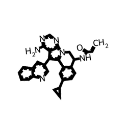 C=CC(=O)NC1Cn2c(c(-c3cnc4ccccc4c3)c3c(N)ncnc32)-c2cc(C3CC3)ccc21